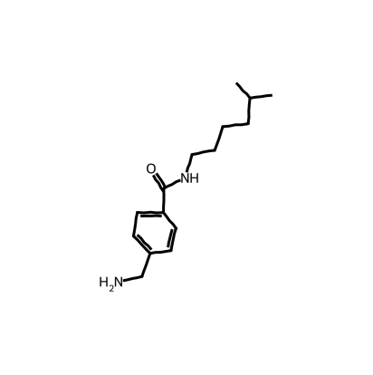 CC(C)CCCCNC(=O)c1ccc(CN)cc1